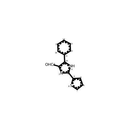 O=Cc1nc(-c2cccs2)[nH]c1-c1ccccc1